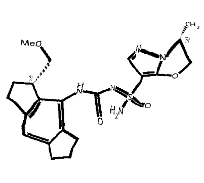 COC[C@H]1CCc2cc3c(c(NC(=O)N=S(N)(=O)c4cnn5c4OC[C@H]5C)c21)CCC3